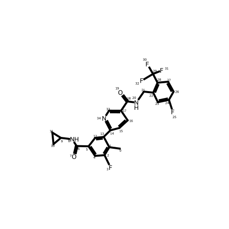 Cc1c(F)cc(C(=O)NC2CC2)cc1-c1ccc(C(=O)NCc2cc(F)ccc2C(F)(F)F)cn1